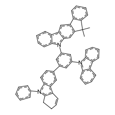 CC1(C)c2ccccc2-c2cc3c4ccccc4n(-c4cc(-c5ccc6c(c5)c5c(n6-c6ccccc6)CCC=C5)cc(-n5c6ccccc6c6ccccc65)c4)c3cc21